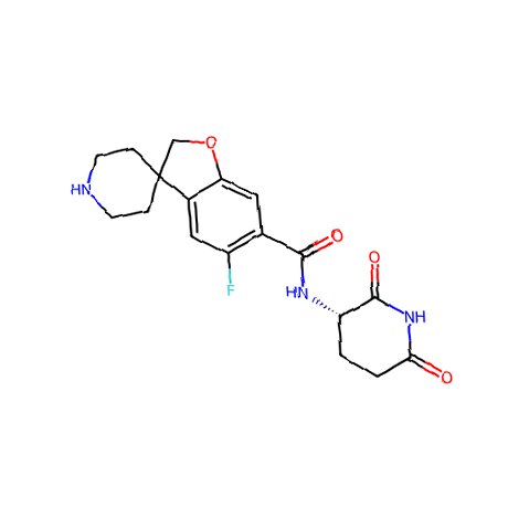 O=C1CC[C@H](NC(=O)c2cc3c(cc2F)C2(CCNCC2)CO3)C(=O)N1